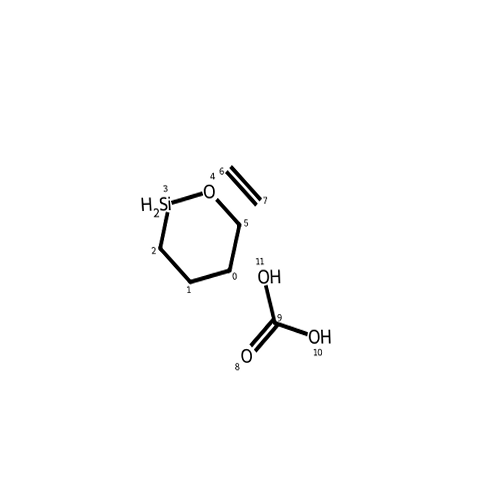 C1CC[SiH2]OC1.C=C.O=C(O)O